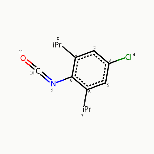 CC(C)c1cc(Cl)cc(C(C)C)c1N=C=O